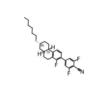 CCCCCCC[C@@H]1CC[C@@H]2c3ccc(-c4cc(F)c(C#N)c(F)c4)c(F)c3CC[C@H]2C1